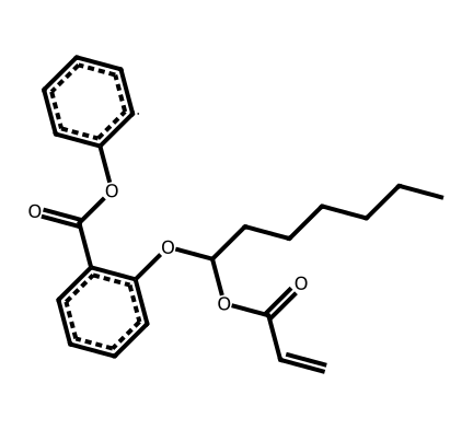 C=CC(=O)OC(CCCCCC)Oc1ccccc1C(=O)Oc1[c]cccc1